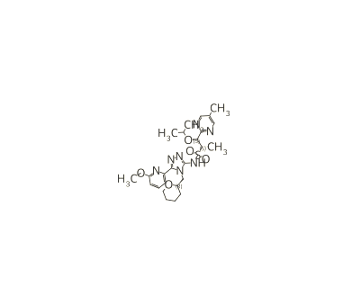 COc1cccc(-c2nnc(NS(=O)(=O)[C@@H](C)[C@@H](OC(C)C)c3ncc(C)cn3)n2C[C@H]2CCCCO2)n1